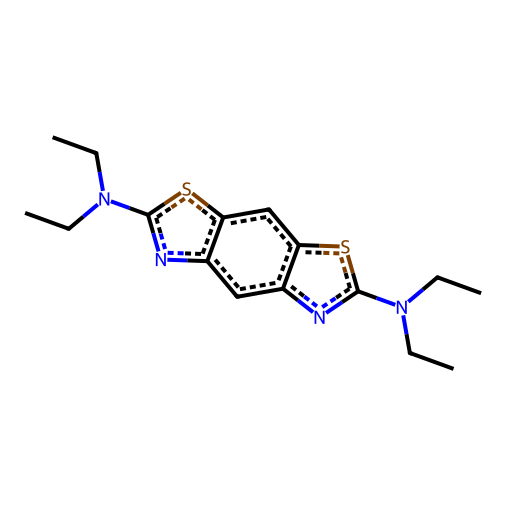 CCN(CC)c1nc2cc3nc(N(CC)CC)sc3cc2s1